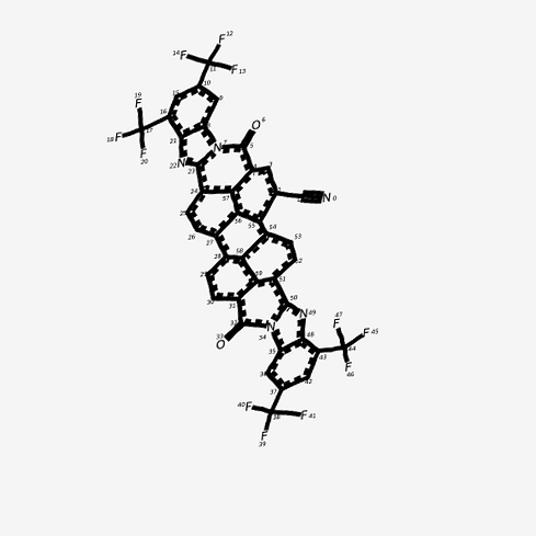 N#Cc1cc2c(=O)n3c4cc(C(F)(F)F)cc(C(F)(F)F)c4nc3c3ccc4c5ccc6c(=O)n7c8cc(C(F)(F)F)cc(C(F)(F)F)c8nc7c7ccc(c1c4c23)c5c67